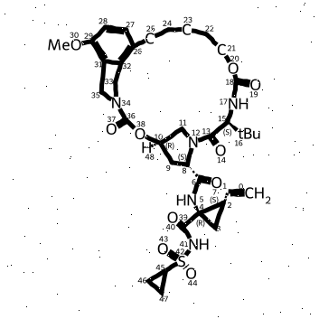 C=C[C@@H]1C[C@]1(NC(=O)[C@@H]1C[C@@H]2CN1C(=O)[C@H](C(C)(C)C)NC(=O)OCCCCCc1ccc(OC)c3c1CN(C3)C(=O)O2)C(=O)NS(=O)(=O)C1CC1